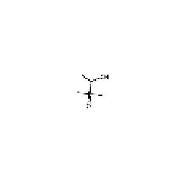 CC(C#N)P(C)(C)=O